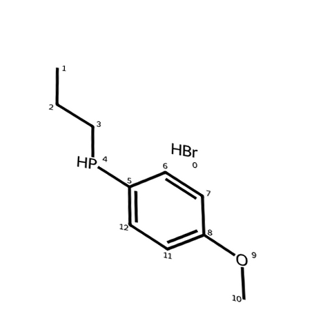 Br.CCCPc1ccc(OC)cc1